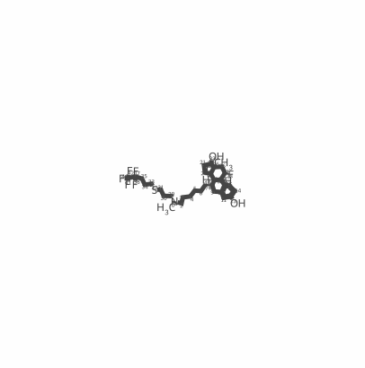 CN(CCCCCC[C@@H]1Cc2cc(O)ccc2[C@@H]2[C@@H]1[C@@H]1CCC(O)[C@@]1(C)C[C@@H]2F)CCCSCCCC(F)(F)C(F)(F)F